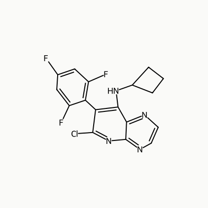 Fc1cc(F)c(-c2c(Cl)nc3nccnc3c2NC2CCC2)c(F)c1